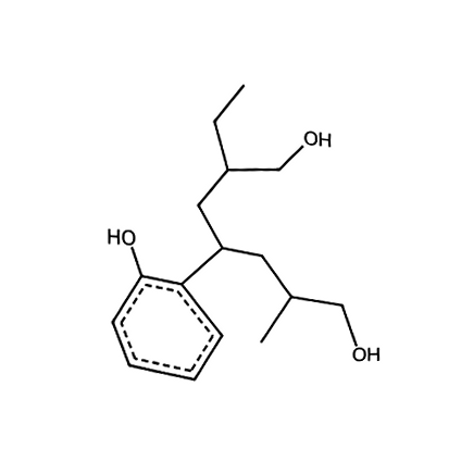 CCC(CO)CC(CC(C)CO)c1ccccc1O